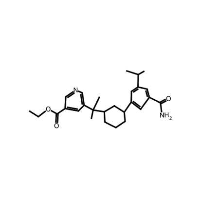 CCOC(=O)c1cncc(C(C)(C)C2CCCC(c3cc(C(N)=O)cc(C(C)C)c3)C2)c1